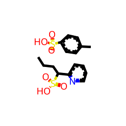 CCCC(c1ccccn1)S(=O)(=O)O.Cc1ccc(S(=O)(=O)O)cc1